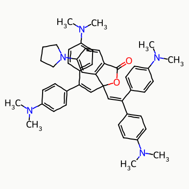 CN(C)c1ccc(C(=CC2(C=C(c3ccc(N(C)C)cc3)c3ccc(N(C)C)cc3)OC(=O)c3ccc(N4CCCC4)cc32)c2ccc(N(C)C)cc2)cc1